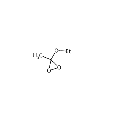 CCOC1(C)OO1